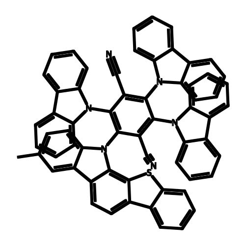 Cc1ccc2c(c1)c1ccc3c4ccccc4sc3c1n2-c1c(C#N)c(-n2c3ccccc3c3ccccc32)c(-n2c3ccccc3c3ccccc32)c(C#N)c1-n1c2ccccc2c2ccccc21